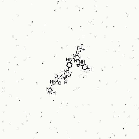 O=C(NCCc1c[nH]cn1)C(=O)NC[C@H](NC(=O)c1ccc(Nc2nc(NC3(c4ccc(Cl)cc4)CC3)nc(OCC(F)(F)F)n2)cc1)C(=O)O